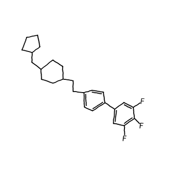 Fc1cc(-c2ccc(CCC3CCC(CC4CCCC4)CC3)cc2)cc(F)c1F